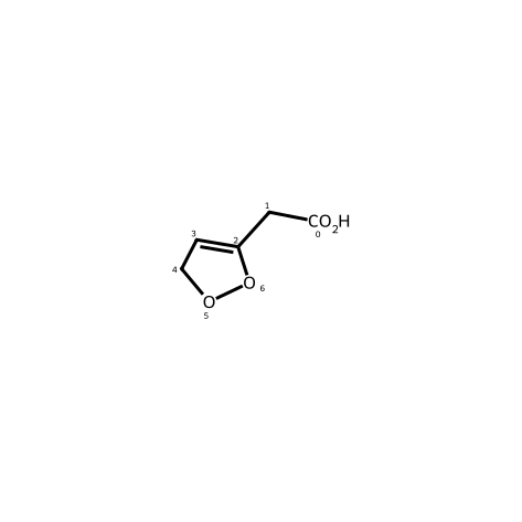 O=C(O)CC1=CCOO1